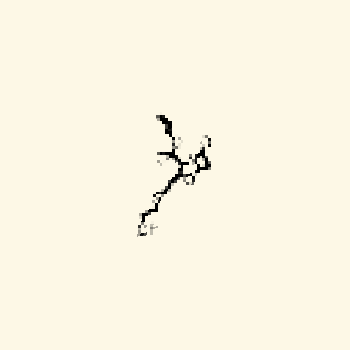 C=CCOC(=O)C1C(=CCSCCO)OC2CC(=O)N21